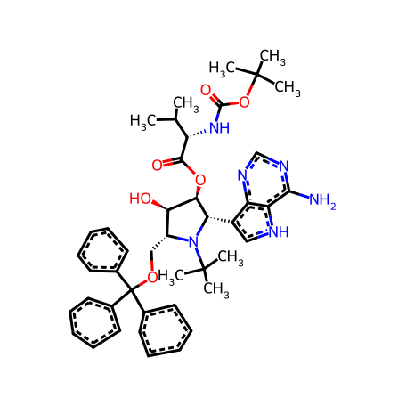 CC(C)[C@H](NC(=O)OC(C)(C)C)C(=O)O[C@@H]1[C@H](O)[C@@H](COC(c2ccccc2)(c2ccccc2)c2ccccc2)N(C(C)(C)C)[C@H]1c1c[nH]c2c(N)ncnc12